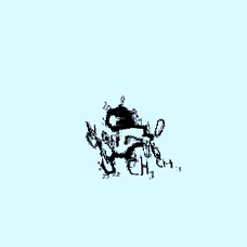 CONC(=O)C(Cc1ccccc1)NC(=O)C(C)C(OC)C1CCCN1C=O